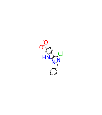 COC(=O)c1ccc2c(c1)[nH]c1nc(Cc3ccccc3)nc(Cl)c12